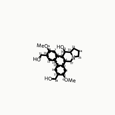 COc1cc2c3c(c4cc(OC)c(CO)cc4c2cc1CO)C(O)C1CCCN1C3